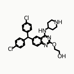 OCCOc1nc(NC2CCNCC2)c2cc(C(c3ccc(Cl)cc3)c3ccc(Cl)cc3)ccc2n1